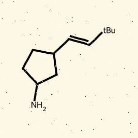 CC(C)(C)/C=C/C1CCC(N)C1